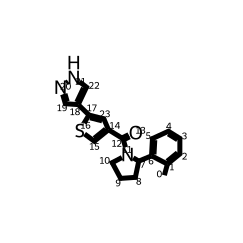 Cc1ccccc1C1CCCN1C(=O)c1csc(-c2cn[nH]c2)c1